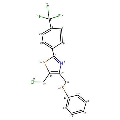 FC(F)(F)c1ccc(-c2nc(CSc3ccccc3)c(CCl)s2)cc1